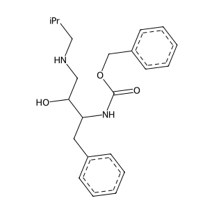 CC(C)CNCC(O)C(Cc1ccccc1)NC(=O)OCc1ccccc1